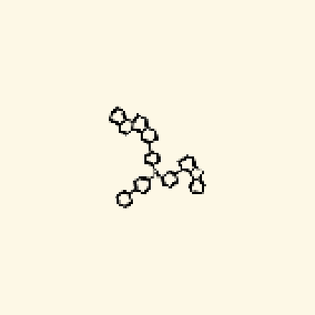 c1ccc(-c2ccc(N(c3ccc(-c4ccc5ccc6c7ccccc7ccc6c5c4)cc3)c3cccc(-c4cccc5sc6ccccc6c45)c3)cc2)cc1